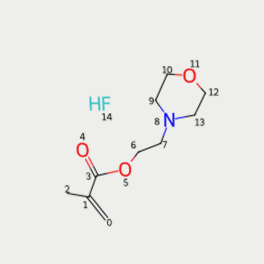 C=C(C)C(=O)OCCN1CCOCC1.F